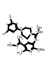 COc1nc(C)c(C(C)=NO)cc1N=C(NO)N1CCN(c2cc(F)cc(F)c2)CC1